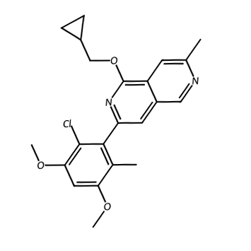 COc1cc(OC)c(Cl)c(-c2cc3cnc(C)cc3c(OCC3CC3)n2)c1C